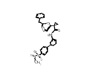 CNS(=O)(=O)c1ccc(-c2cccc(NC(=O)C3(C4=COC(Cc5ccccc5)O4)CC3)c2)cc1